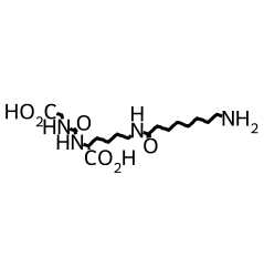 NCCCCCCCC(=O)NCCCC[C@H](NC(=O)NCC(=O)O)C(=O)O